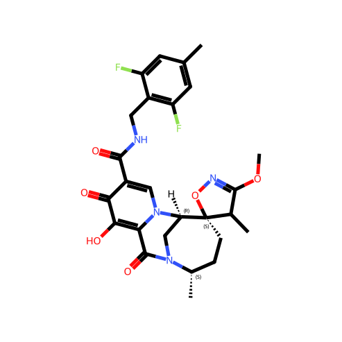 COC1=NO[C@@]2(CC[C@H](C)N3C[C@H]2n2cc(C(=O)NCc4c(F)cc(C)cc4F)c(=O)c(O)c2C3=O)C1C